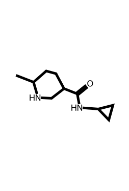 CC1CCC(C(=O)NC2CC2)CN1